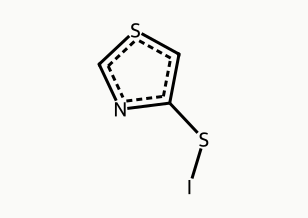 ISc1cscn1